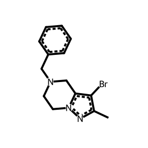 Cc1nn2c(c1Br)CN(Cc1ccccc1)CC2